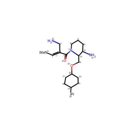 CN/C=C(\CN)C(=O)N1CCCC(N)C1COC1CCC(C(C)C)CC1